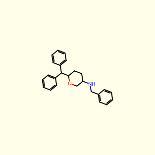 c1ccc(CNC2CCC(C(c3ccccc3)c3ccccc3)OC2)cc1